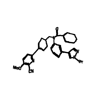 COc1ccc(C2CCC(CN(C(=O)C3CCCCC3)c3cccc(-c4cnn(C(C)C)c4)c3)CC2)nc1C#N